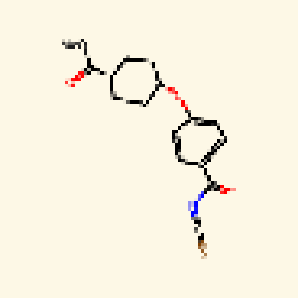 COC(=O)[C@H]1CC[C@@H](Oc2ccc(C(=O)N=C=S)cc2)CC1